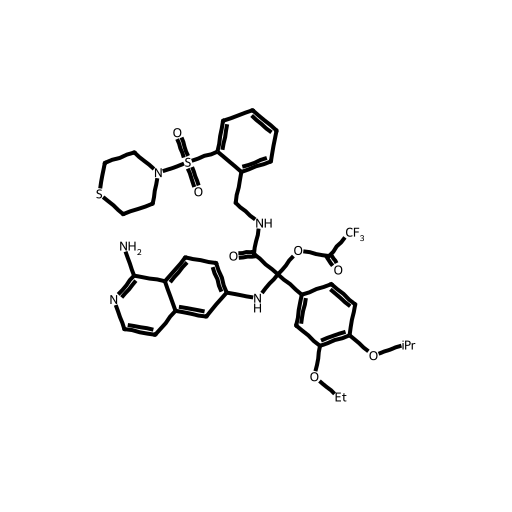 CCOc1cc(C(Nc2ccc3c(N)nccc3c2)(OC(=O)C(F)(F)F)C(=O)NCc2ccccc2S(=O)(=O)N2CCSCC2)ccc1OC(C)C